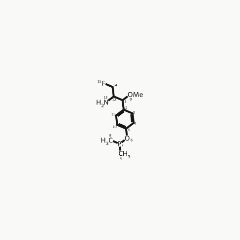 COC(c1ccc(OP(C)C)cc1)C(N)CF